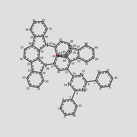 c1ccc(-c2nc(-c3ccccc3)nc(-c3cc(-n4c5ccccc5c5ccc6c7ccccc7n(-c7ccccc7)c6c54)cc4oc5ccccc5c34)n2)cc1